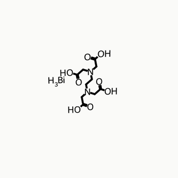 O=C(O)CN(CCN(CC(=O)O)CC(=O)O)CC(=O)O.[BiH3]